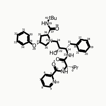 CC(C)[C@H](NC(=O)c1ccccn1)C(=O)N[C@@H](Cc1ccccc1)[C@H](O)CN1C[C@H](Oc2ccccc2)C[C@H]1C(=O)NC(C)(C)C